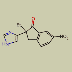 CCC1(c2c[nH]cn2)Cc2ccc([N+](=O)[O-])cc2C1=O